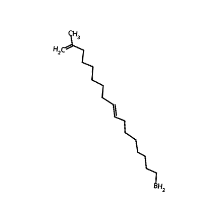 BCCCCCCC/C=C/CCCCCCC(=C)C